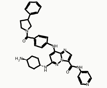 N[C@H]1CC[C@H](Nc2cc(Nc3ccc(C(=O)N4CCC(c5ccccc5)C4)cc3)c3ncc(C(=O)Nc4ccncc4)n3n2)CC1